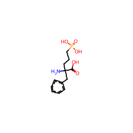 NC(CCCP(=O)(O)O)(Cc1ccccc1)C(=O)O